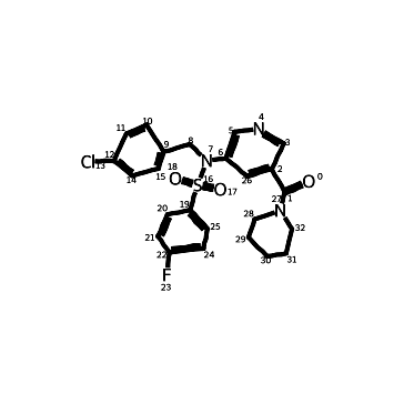 O=C(c1cncc(N(Cc2ccc(Cl)cc2)S(=O)(=O)c2ccc(F)cc2)c1)N1CCCCC1